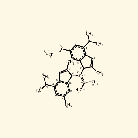 CC1=Cc2c(C(C)C)cc(C)cc2[CH]1[Zr+2]([CH]1C(C)=Cc2c(C(C)C)cc(C)cc21)=[Si](C)C.[Cl-].[Cl-]